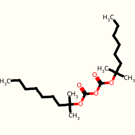 CCCCCCCC(C)(C)OC(=O)OC(=O)OC(C)(C)CCCCCC